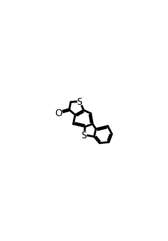 O=C1CSc2cc3c(cc21)sc1ccccc13